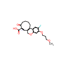 COCCCOc1cc2c(cc1F)C1=C(/C=C(/C(=O)O)C(=O)CCCC1)CO2